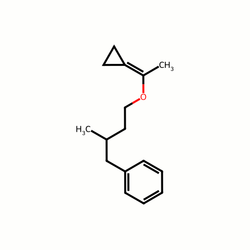 CC(OCCC(C)Cc1ccccc1)=C1CC1